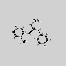 CCCc1ccccc1/C=C(\COC(C)=O)Cc1ccccc1